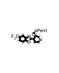 CCCCCOc1cnccc1-c1nc2cc(C(F)(F)F)ccc2o1